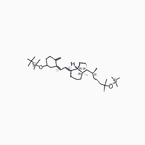 C=C1CCC(O[Si](C)(C)C(C)(C)C)C/C1=C/C=C1\CCC[C@]2(C)[C@@H]([C@@H](C)CCCC(C)(C)O[Si](C)(C)C)CC[C@@H]12